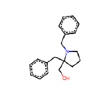 OCC1(Cc2ccccc2)CCCN1Cc1ccccc1